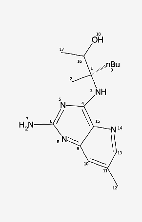 CCCC[C@@](C)(Nc1nc(N)nc2cc(C)cnc12)C(C)O